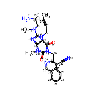 CC#CCn1c(N(C)CC(C)N)nc2c1c(=O)n(Cc1ncc3ccccc3c1C#N)c(=O)n2C